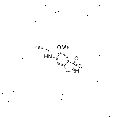 C#CCNc1cc2c(cc1OC)S(=O)(=O)NC2